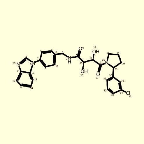 O=C(NCc1ccc(-n2cnc3ccccc32)cc1)[C@H](O)[C@@H](O)C(=O)N1CCCC1c1cccc(Cl)c1